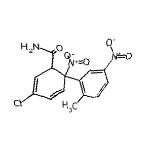 Cc1ccc([N+](=O)[O-])cc1C1([N+](=O)[O-])C=CC(Cl)=CC1C(N)=O